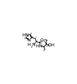 CC(NC(=O)[C@@H](N)Cc1c[nH]cn1)C(=O)O